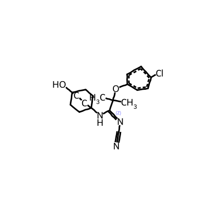 CC(C)(Oc1ccc(Cl)cc1)/C(=N/C#N)NC12CCC(O)(CC1)CC2